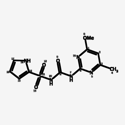 COc1cc(C)nc(NC(=O)NS(=O)(=O)c2ccc[nH]2)n1